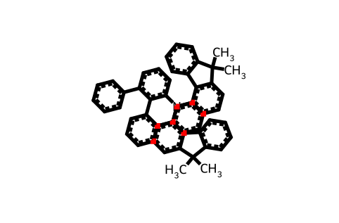 CC1(C)c2ccccc2-c2c(N(c3cccc(-c4ccccc4)c3-c3ccccc3-c3ccccc3)c3cccc4c3-c3ccccc3C4(C)C)cccc21